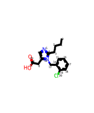 CCCCc1ncc(CC(=O)O)n1Cc1ccccc1Cl